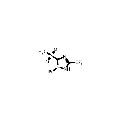 CC(C)N1NC(C(F)(F)F)=NC1S(C)(=O)=O